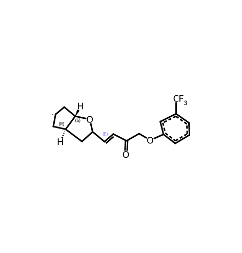 O=C(/C=C/C1C[C@H]2C[CH]C[C@@H]2O1)COc1cccc(C(F)(F)F)c1